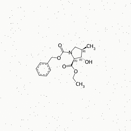 CCOC(=O)[C@@H]1[C@@H](O)[C@H](C)CN1C(=O)OCc1ccccc1